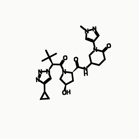 Cn1cc(N2CC(NC(=O)[C@@H]3C[C@@H](O)CN3C(=O)[C@@H](n3cc(C4CC4)nn3)C(C)(C)C)CCC2=O)cn1